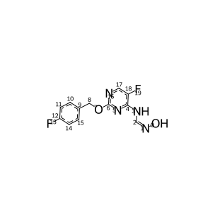 O/N=C\Nc1nc(OCc2ccc(F)cc2)ncc1F